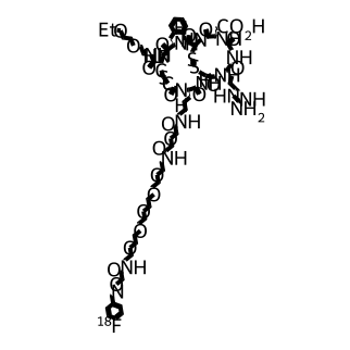 CCOCCOCCNC(=O)[C@@H]1CSCC(=O)N[C@@H](CCCCNC(=O)COCC(=O)NCCOCCOCCOCCOCCOCCNC(=O)CO/N=C/c2ccc([18F])cc2)C(=O)N[C@H]2CSSC[C@H](NC(=O)[C@H](CC(=O)O)NC(=O)CNC(=O)[C@H](CCCNC(=N)N)NC2=O)C(=O)N[C@@H](Cc2ccccc2)C(=O)N1